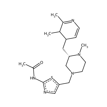 CC(=O)Nc1ncc(CN2CCN(C)[C@@H](CC3C=CN=C(C)C3C)C2)s1